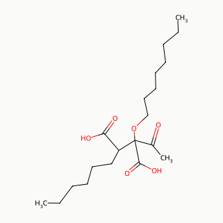 CCCCCCCCOC(C(C)=O)(C(=O)O)C(CCCCCC)C(=O)O